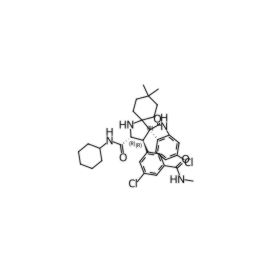 CNC(=O)c1cc(Cl)cc([C@H]2[C@H](C(=O)NC3CCCCC3)NC3(CCC(C)(C)CC3)[C@@]23C(=O)Nc2cc(Cl)ccc23)c1